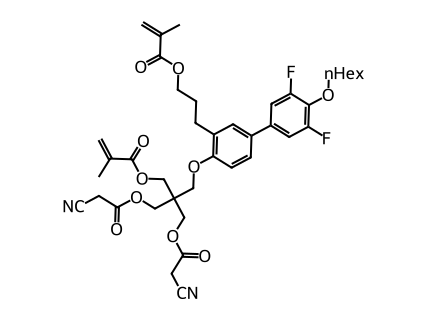 C=C(C)C(=O)OCCCc1cc(-c2cc(F)c(OCCCCCC)c(F)c2)ccc1OCC(COC(=O)CC#N)(COC(=O)CC#N)COC(=O)C(=C)C